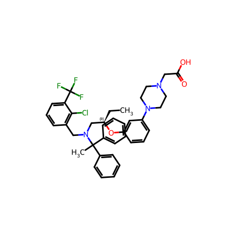 CC[C@H](CN(Cc1cccc(C(F)(F)F)c1Cl)C(C)(c1ccccc1)c1ccccc1)Oc1cccc(N2CCN(CC(=O)O)CC2)c1